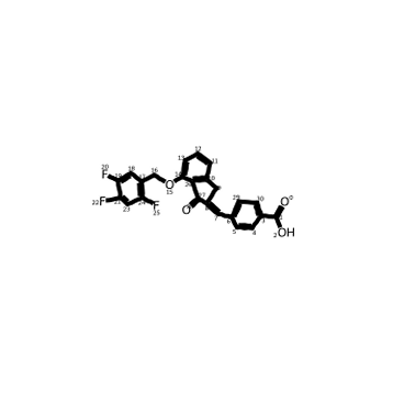 O=C(O)c1ccc(/C=C2\Cc3cccc(OCc4cc(F)c(F)cc4F)c3C2=O)cc1